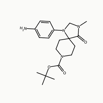 CN1CN(c2ccc(N)cc2)C2(CCN(C(=O)OC(C)(C)C)CC2)C1=O